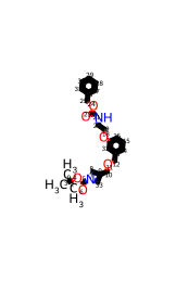 CC(C)(C)OC(=O)N1CC(COCc2cccc(OCCNC(=O)OCc3ccccc3)c2)C1